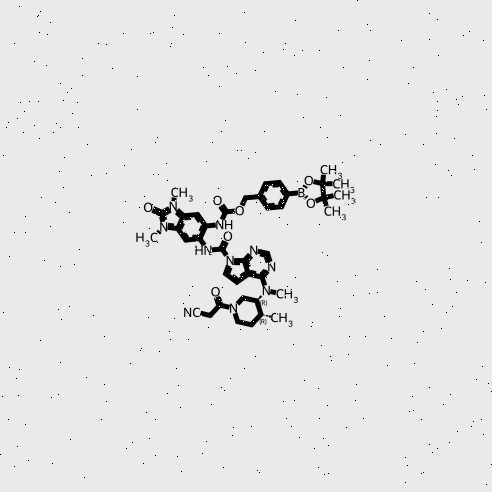 C[C@@H]1CCN(C(=O)CC#N)C[C@@H]1N(C)c1ncnc2c1ccn2C(=O)Nc1cc2c(cc1NC(=O)OCc1ccc(B3OC(C)(C)C(C)(C)O3)cc1)n(C)c(=O)n2C